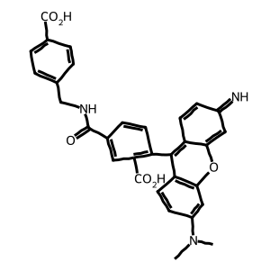 CN(C)c1ccc2c(-c3ccc(C(=O)NCc4ccc(C(=O)O)cc4)cc3C(=O)O)c3ccc(=N)cc-3oc2c1